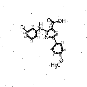 COc1ccc(-c2nc(Nc3cccc(F)c3)c(C(=O)O)s2)cc1